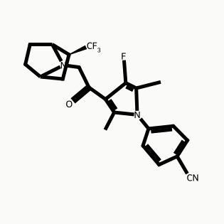 Cc1c(F)c(C(=O)CN2C3CCC2[C@@H](C(F)(F)F)C3)c(C)n1-c1ccc(C#N)cc1